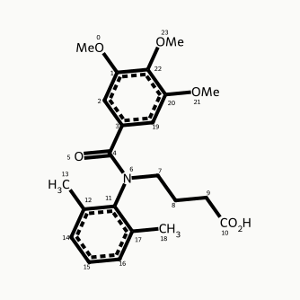 COc1cc(C(=O)N(CCCC(=O)O)c2c(C)cccc2C)cc(OC)c1OC